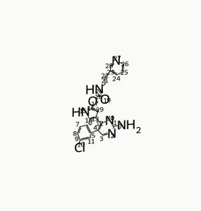 Nc1ncc(-c2cccc(Cl)c2)c(-c2c[nH]c(OC(=O)NCCc3cccnc3)c2)n1